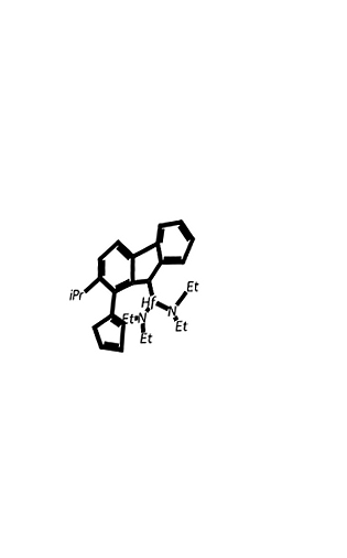 CC[N](CC)[Hf]([CH]1c2ccccc2-c2ccc(C(C)C)c(C3=CC=CC3)c21)[N](CC)CC